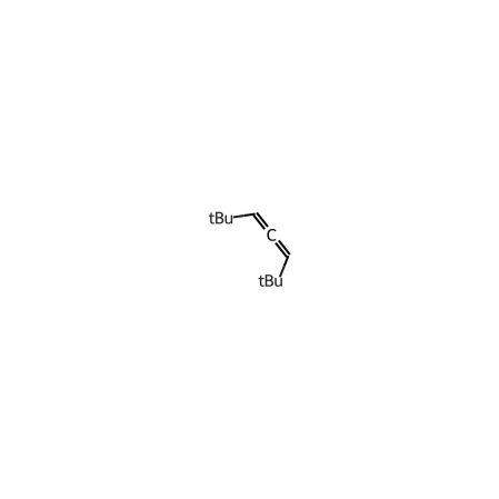 CC(C)(C)C=C=CC(C)(C)C